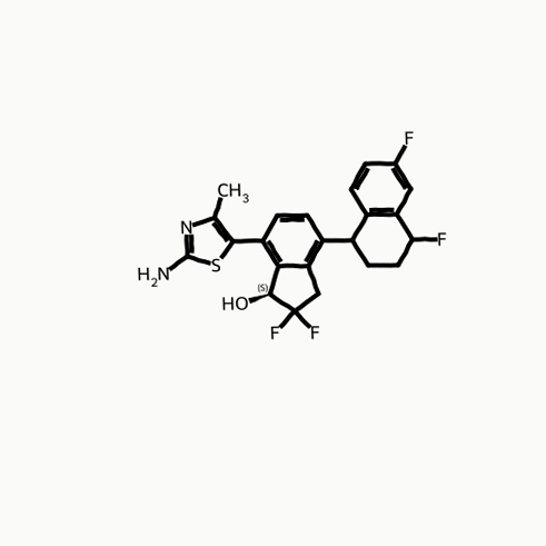 Cc1nc(N)sc1-c1ccc(C2CCC(F)c3cc(F)ccc32)c2c1[C@H](O)C(F)(F)C2